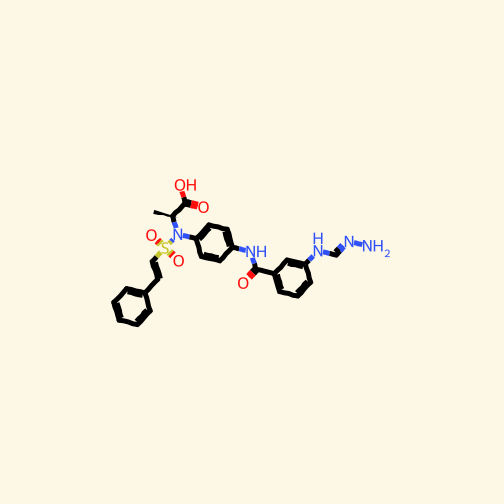 C[C@@H](C(=O)O)N(c1ccc(NC(=O)c2cccc(NC=NN)c2)cc1)S(=O)(=O)C=Cc1ccccc1